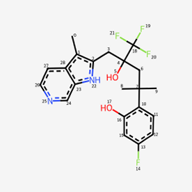 Cc1c(CC(O)(CC(C)(C)c2ccc(F)cc2O)C(F)(F)F)[nH]c2cnccc12